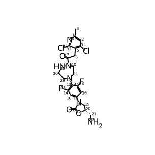 Cc1cc(Cl)c(CC(=O)N2CCN(c3c(F)cc(N4C[C@H](CN)OC4=O)cc3F)CCN2)c(Cl)n1